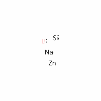 [B].[Na].[Si].[Zn]